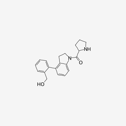 O=C(C1CCCN1)N1CCc2c(-c3ccccc3CO)cccc21